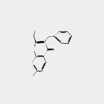 CC(C)[CH]c1oc2nc(Cl)ccc2c(=O)c1Cc1ccccc1